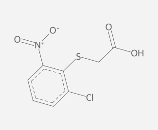 O=C(O)CSc1c(Cl)cccc1[N+](=O)[O-]